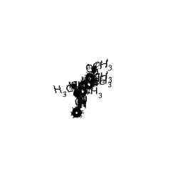 C=C(C)[C@@H]1CC[C@]2(c3nnc(-c4ccccc4)o3)CC[C@]3(C)[C@H](CC[C@@H]4[C@@]5(C)CC[C@H](OC(C)=O)C(C)(C)[C@@H]5CC[C@]43C)[C@@H]12